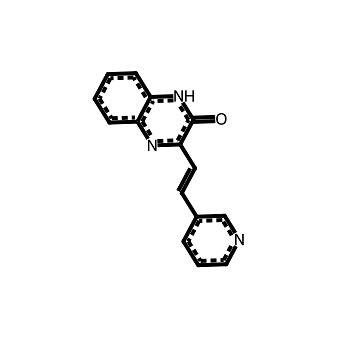 O=c1[nH]c2ccccc2nc1C=Cc1cccnc1